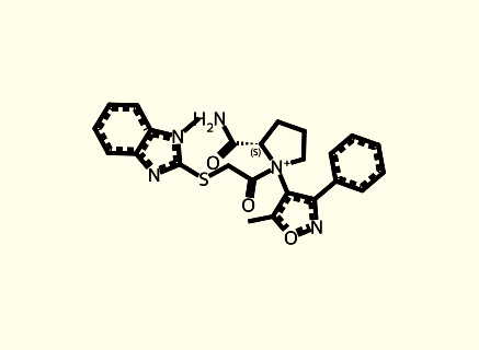 Cc1onc(-c2ccccc2)c1[N+]1(C(=O)CSc2nc3ccccc3n2C)CCC[C@H]1C(N)=O